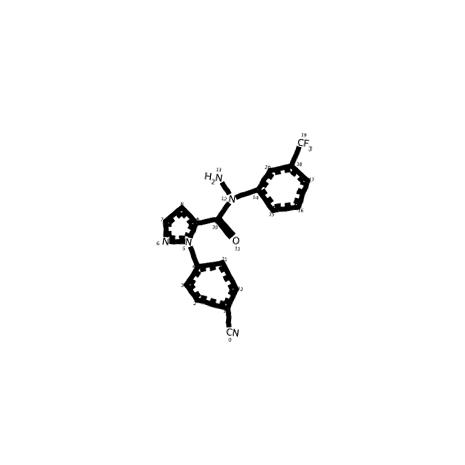 N#Cc1ccc(-n2nccc2C(=O)N(N)c2cccc(C(F)(F)F)c2)cc1